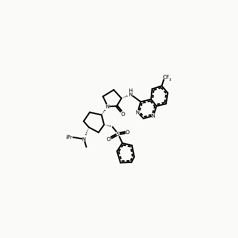 CC(C)N(C)[C@@H]1CC[C@H](N2CC[C@H](Nc3ncnc4ccc(C(F)(F)F)cc34)C2=O)[C@H](CS(=O)(=O)c2ccccc2)C1